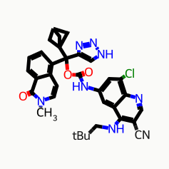 Cn1ccc2c(C(OC(=O)Nc3cc(Cl)c4ncc(C#N)c(NCC(C)(C)C)c4c3)(c3c[nH]nn3)C34CC(C3)C4)cccc2c1=O